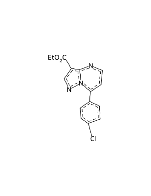 CCOC(=O)c1cnn2c(-c3ccc(Cl)cc3)ccnc12